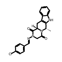 C[C@H]1c2[nH]c3ccccc3c2C[C@H]2C(=O)N(/N=C/c3ccc(Cl)cc3)CC(=O)N21